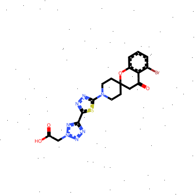 O=C(O)Cn1nnc(-c2nnc(N3CCC4(CC3)CC(=O)c3c(Br)cccc3O4)s2)n1